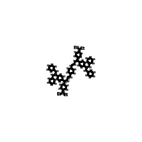 CCN(CC)c1ccc(C(=CC=Cc2ccc(C=CC=C(c3ccc(N(CC)CC)cc3)c3ccc(N(Cc4ccccc4)Cc4ccccc4)cc3)cc2)c2ccc(N(Cc3ccccc3)Cc3ccccc3)cc2)cc1